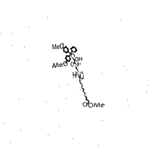 COC(=O)CCCCCCCCCCC(=O)NCCNC(=O)C(O)COC(c1ccccc1)(c1ccc(OC)cc1)c1ccc(OC)cc1